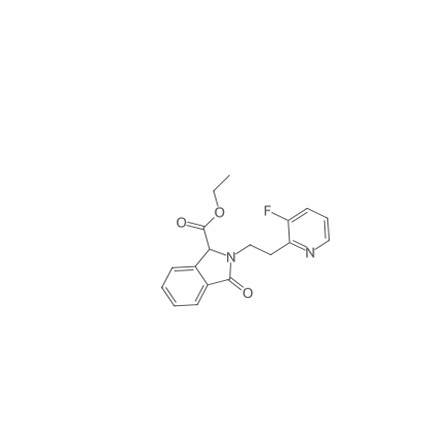 CCOC(=O)C1c2ccccc2C(=O)N1CCc1ncccc1F